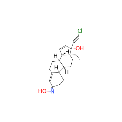 CC[C@]12CC[C@H]3[C@@H](CCC4=C/C(=N\O)CC[C@@H]43)[C@@H]1C=C[C@@]2(O)C#CCl